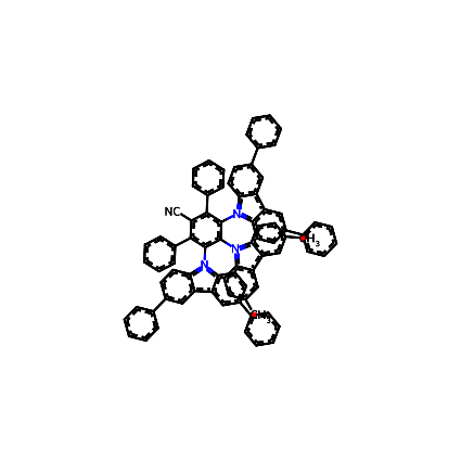 Cc1ccc2c(c1)c1cc(C)ccc1n2-c1c(-n2c3ccc(-c4ccccc4)cc3c3cc(-c4ccccc4)ccc32)c(-c2ccccc2)c(C#N)c(-c2ccccc2)c1-n1c2ccc(-c3ccccc3)cc2c2cc(-c3ccccc3)ccc21